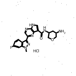 Cl.Cn1nc(-c2cnc3[nH]cc(C(=O)NC4COCC(N)C4)c3n2)c2ccc(F)cc21